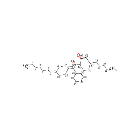 CCCCCCCC1CCC(C(C(=O)C2CCC(CCCCC)CC2=O)C2CCCCC2)CC1